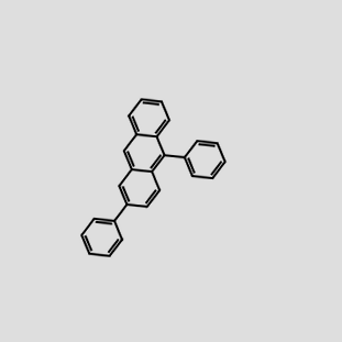 c1ccc(-c2ccc3c(-c4ccccc4)c4ccccc4cc3c2)cc1